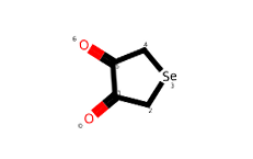 O=C1C[Se]CC1=O